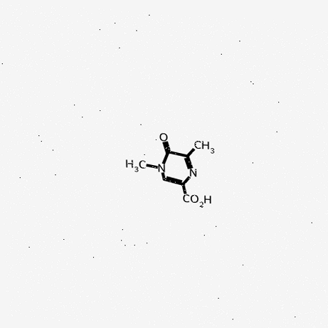 Cc1nc(C(=O)O)cn(C)c1=O